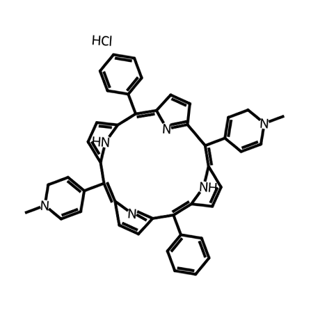 CN1C=CC(c2c3nc(c(-c4ccccc4)c4ccc([nH]4)c(C4=CCN(C)C=C4)c4nc(c(-c5ccccc5)c5ccc2[nH]5)C=C4)C=C3)=CC1.Cl